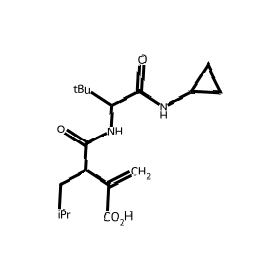 C=C(C(=O)O)C(CC(C)C)C(=O)NC(C(=O)NC1CC1)C(C)(C)C